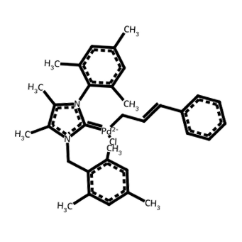 Cc1cc(C)c(Cn2c(C)c(C)n(-c3c(C)cc(C)cc3C)[c]2=[Pd-2]([Cl])[CH2]C=Cc2ccccc2)c(C)c1